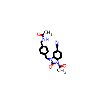 CC(=O)NCc1ccc(Cn2c(=O)n(C(C)=O)c3ccc(C#N)cc32)cc1